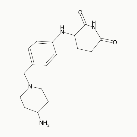 NC1CCN(Cc2ccc(NC3CCC(=O)NC3=O)cc2)CC1